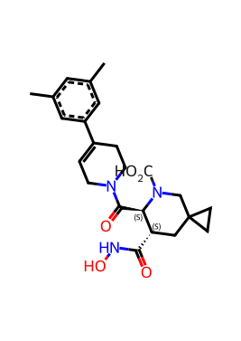 Cc1cc(C)cc(C2=CCN(C(=O)[C@@H]3[C@@H](C(=O)NO)CC4(CC4)CN3C(=O)O)CC2)c1